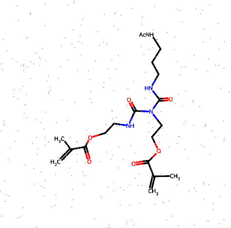 C=C(C)C(=O)OCCNC(=O)N(CCOC(=O)C(=C)C)C(=O)NCCCNC(C)=O